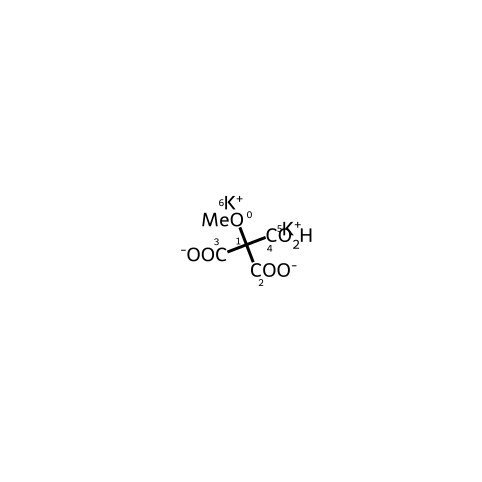 COC(C(=O)[O-])(C(=O)[O-])C(=O)O.[K+].[K+]